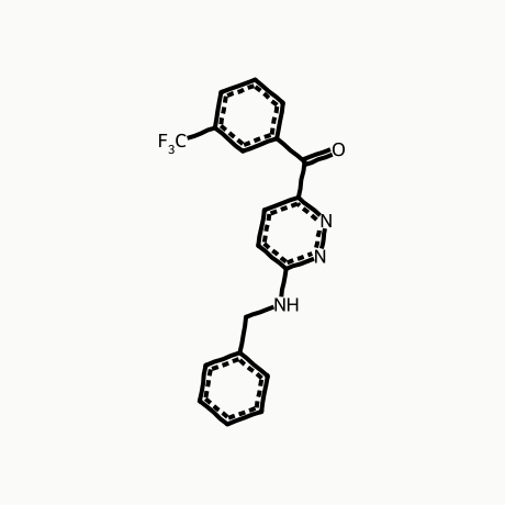 O=C(c1cccc(C(F)(F)F)c1)c1ccc(NCc2ccccc2)nn1